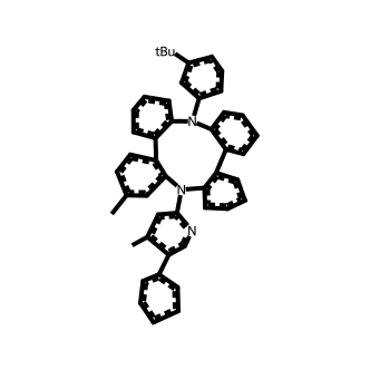 Cc1ccc2c(c1)N(c1cc(C)c(-c3ccccc3)cn1)c1ccccc1-c1ccccc1N(c1cccc(C(C)(C)C)c1)c1ccccc1-2